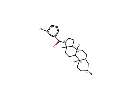 C[C@H]1CC[C@H]2C(CC[C@@H]3C2CCC2(C)C3CC[C@@H]2C(=O)c2cccc(Cl)c2)C1